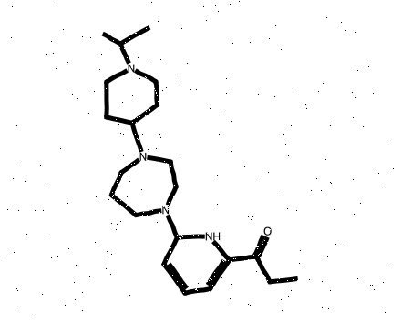 CCC(=O)C1=CC=CC(N2CCCN(C3CCN(C(C)C)CC3)CC2)N1